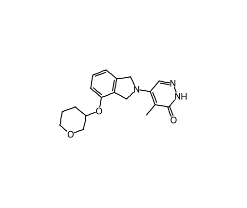 Cc1c(N2Cc3cccc(OC4CCCOC4)c3C2)cn[nH]c1=O